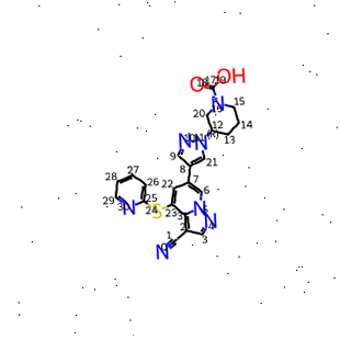 N#Cc1cnn2cc(-c3cnn([C@@H]4CCCN(C(=O)O)C4)c3)cc(Sc3ccccn3)c12